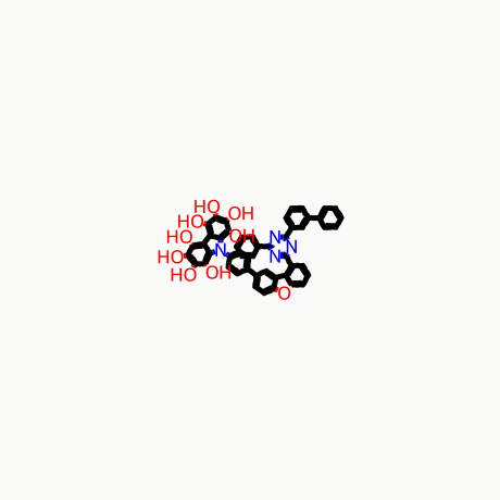 Oc1c(O)c(O)c2c(c1O)c1c(O)c(O)c(O)c(O)c1n2-c1ccc(-c2ccc3oc4cccc(-c5nc(-c6ccccc6)nc(-c6cccc(-c7ccccc7)c6)n5)c4c3c2)cc1